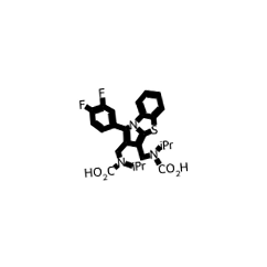 CC(C)N(Cc1c(CN(C(=O)O)C(C)C)c2sc3ccccc3n2c1-c1ccc(F)c(F)c1)C(=O)O